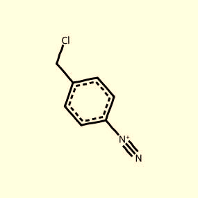 N#[N+]c1ccc(CCl)cc1